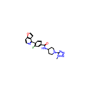 Cn1nnnc1N1CCC(NC(=O)c2ccc(-c3nccc4occc34)c(F)c2)CC1